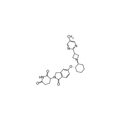 Cc1cnc(C2CN([C@H]3CCCC[C@@H]3Oc3ccc4c(c3)CN(C3CCC(=O)NC3=O)C4=O)C2)nc1